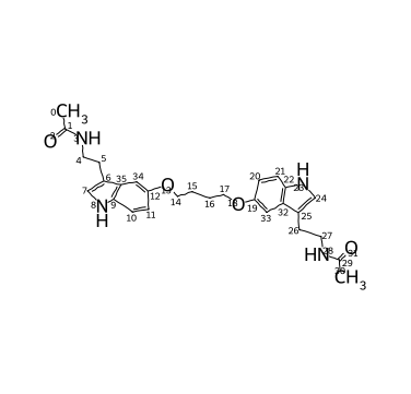 CC(=O)NCCc1c[nH]c2ccc(OCCCCOc3ccc4[nH]cc(CCNC(C)=O)c4c3)cc12